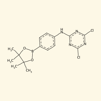 CC1(C)OB(c2ccc(Nc3nc(Cl)nc(Cl)n3)cc2)OC1(C)C